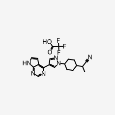 CC(C#N)C1CCC(n2cc(-c3ncnc4[nH]ccc34)cn2)CC1.O=C(O)C(F)(F)F